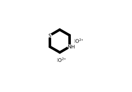 C1CSCCN1.[O+2].[O+2]